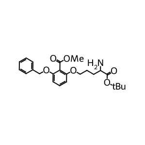 COC(=O)c1c(OCCCC(N)C(=O)OC(C)(C)C)cccc1OCc1ccccc1